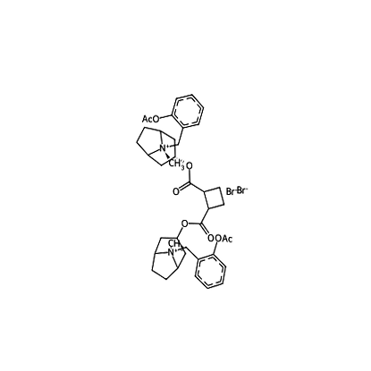 CC(=O)Oc1ccccc1C[N+]1(C)C2CCC1CC(OC(=O)C1CCC1C(=O)O[C@H]1CC3CCC(C1)[N@@+]3(C)Cc1ccccc1OC(C)=O)C2.[Br-].[Br-]